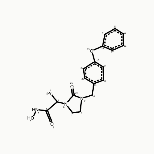 CC(C)C(C(=O)NO)N1CCN(Cc2ccc(Oc3ccccc3)cc2)C1=O